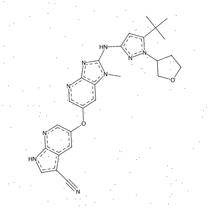 Cn1c(Nc2cc(C(C)(C)C)n(C3CCOC3)n2)nc2ncc(Oc3cnc4[nH]cc(C#N)c4c3)cc21